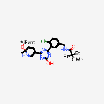 CCC[C@@H](C)OC1(C)C=CC(c2nc(O)nc(-c3cc(CNC(=O)C(CC)(CC)OC)ccc3Cl)n2)=CN1